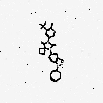 C=C1N(c2cnc(C)c(C(C)(F)F)c2)C(=O)C2(CCC2)N1c1ccc2c(cnn2C2CCC=CCC2)c1